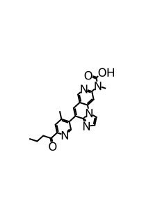 CCCC(=O)c1cc(C)c(-c2cc3cnc(N(C)C(=O)O)cc3n3ccnc23)cn1